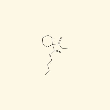 CCCCOC(=O)C1(C(=O)CC)CCOCC1